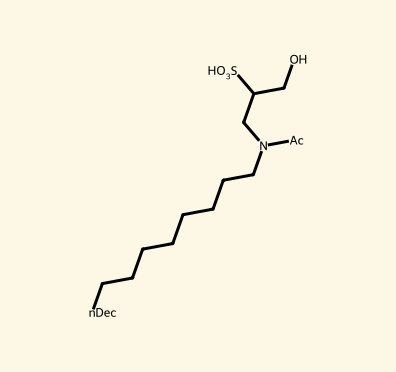 CCCCCCCCCCCCCCCCCCN(CC(CO)S(=O)(=O)O)C(C)=O